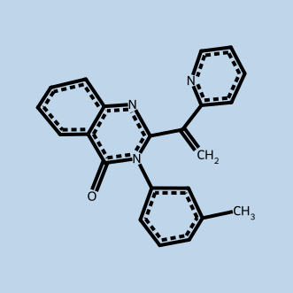 C=C(c1ccccn1)c1nc2ccccc2c(=O)n1-c1cccc(C)c1